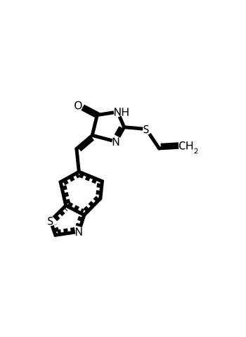 C=CSC1=N/C(=C\c2ccc3ncsc3c2)C(=O)N1